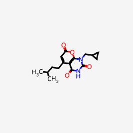 CC(C)CCc1cc(=O)oc2c1c(=O)[nH]c(=O)n2CC1CC1